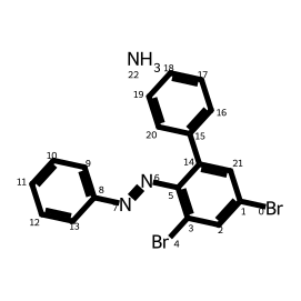 Brc1cc(Br)c(/N=N/c2ccccc2)c(-c2ccccc2)c1.N